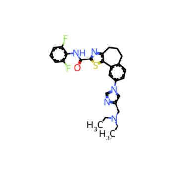 CCN(CC)Cc1cn(-c2ccc3c(c2)-c2sc(C(=O)Nc4c(F)cccc4F)nc2CCC3)cn1